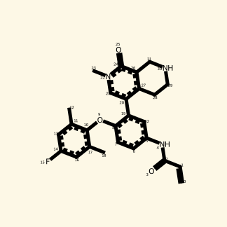 C=CC(=O)Nc1ccc(Oc2c(C)cc(F)cc2C)c(-c2cn(C)c(=O)c3c2CCNC3)c1